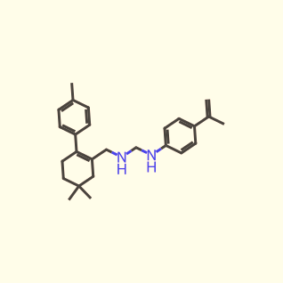 C=C(C)c1ccc(NCNCC2=C(c3ccc(C)cc3)CCC(C)(C)C2)cc1